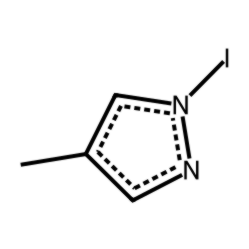 Cc1cnn(I)c1